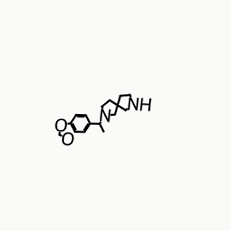 CC(c1ccc2c(c1)OCO2)N1CCC2(CCNC2)C1